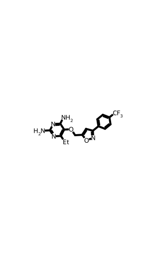 CCc1nc(N)nc(N)c1OCc1cc(-c2ccc(C(F)(F)F)cc2)no1